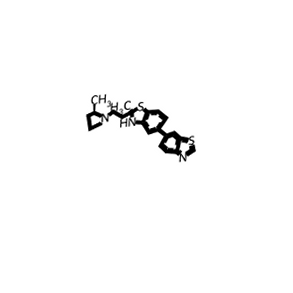 C[C@@H]1CCCN1CCC1(C)Nc2cc(-c3ccc4ncsc4c3)ccc2S1